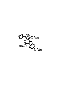 COc1ccc2c(cc(-c3cc(-c4ccncc4)nnc3OC)n2C(=O)OC(C)(C)C)n1